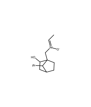 C/C=[N+](\[O-])CC12CCC(CC1O)C2C(C)C